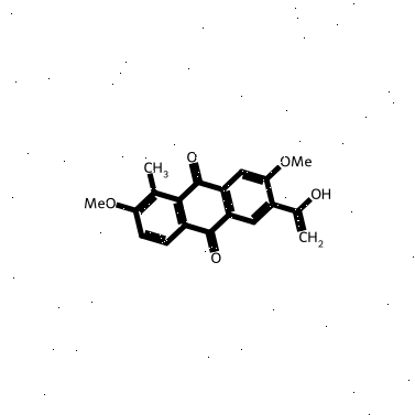 C=C(O)c1cc2c(cc1OC)C(=O)c1c(ccc(OC)c1C)C2=O